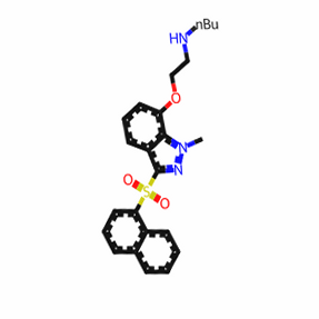 CCCCNCCOc1cccc2c(S(=O)(=O)c3cccc4ccccc34)nn(C)c12